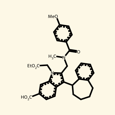 CCOC(=O)Cn1c(CN(C)C(=O)c2ccc(OC)cc2)c(C2CCCCc3ccccc32)c2ccc(C(=O)O)cc21